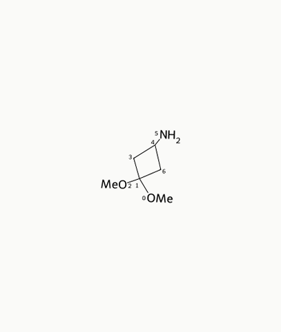 COC1(OC)CC(N)C1